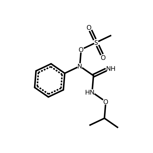 CC(C)ONC(=N)N(OS(C)(=O)=O)c1ccccc1